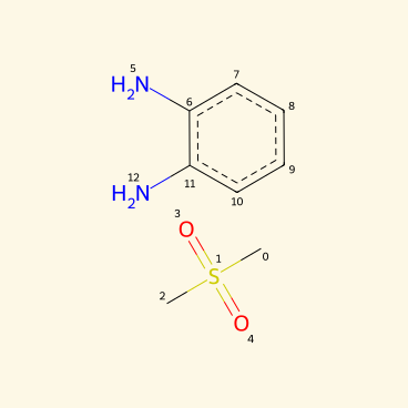 CS(C)(=O)=O.Nc1ccccc1N